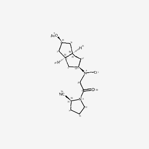 CC(=O)O[C@@H]1C[C@@H]2C[C@H](N(Cl)CC(=O)N3CCC[C@H]3C#N)C[C@@H]2C1